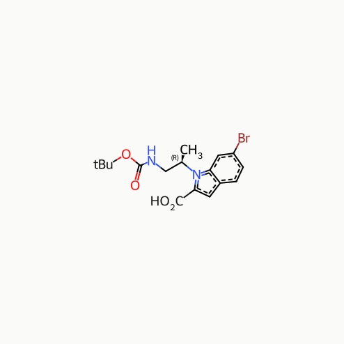 C[C@H](CNC(=O)OC(C)(C)C)n1c(C(=O)O)cc2ccc(Br)cc21